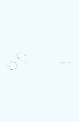 CCCCCCCCCCCCCCCCCCCN1C=CN(c2ccccc2)C1C(C)C